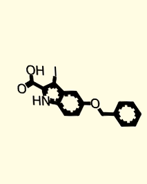 O=C(O)c1[nH]c2ccc(OCc3ccccc3)cc2c1I